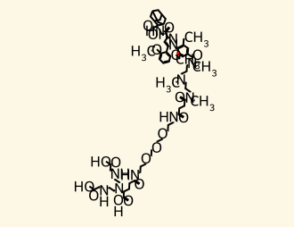 CCc1cc(C(=O)N(C)CCCN(C)CCCN(C)C(=O)CCC(=O)NCCCOCCOCCOCCCNC(=O)CCC(C(=O)O)N(CCNCC(=O)O)CCNCC(=O)O)ccc1-n1nc(C(=O)NC2(C(=O)O)C3CC4CC(C3)CC2C4)cc1-c1c(OC)cccc1OC